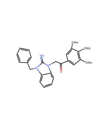 COc1cc(C(=O)Cn2c(=N)n(Cc3ccccc3)c3ccccc32)cc(OC)c1OC